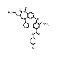 C=CCC1CN(C2CCCC2)c2nc(Nc3ccc(C(=O)NC4CCN(C)CC4)cc3OC)ncc2N(C)C1=O